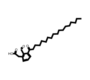 CCCCCCCCCCCCCCCCCC(=O)c1cccc(CC(=O)O)c1I=O